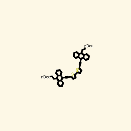 CCCCCCCCCCCCc1c2ccccc2c(C#Cc2ccc(-c3ccc(C#Cc4c5ccccc5c(CCCCCCCCCCCC)c5ccccc45)s3)s2)c2ccccc12